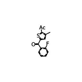 CC(=O)c1sc(C(=O)c2ccccc2F)cc1C